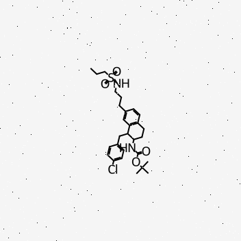 CCCS(=O)(=O)NCCCc1ccc2c(c1)C(Cc1ccc(Cl)cc1)C(NC(=O)OC(C)(C)C)CC2